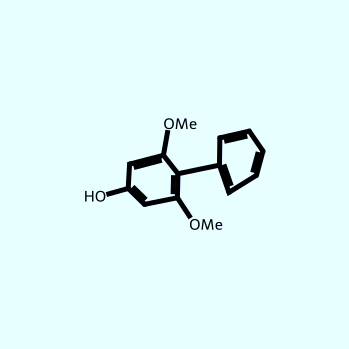 COc1cc(O)cc(OC)c1-c1ccccc1